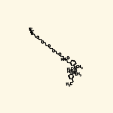 CCc1cccc([Si](C)(C)O[Si](C)(C)c2cccc(CC(=O)NCCOCCOCCOCCOCCOCCN=[N+]=[N-])c2)c1